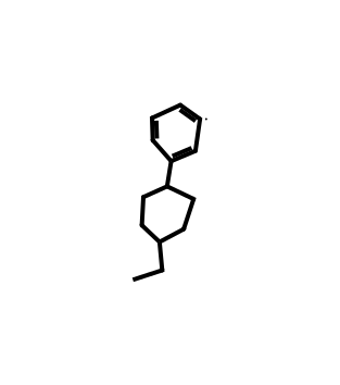 CCC1CCC(c2c[c]ccc2)CC1